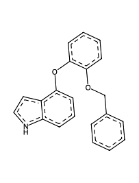 c1ccc(COc2ccccc2Oc2cccc3[nH]ccc23)cc1